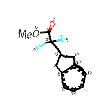 COC(=O)C(F)(F)C1Cc2ccccc2C1